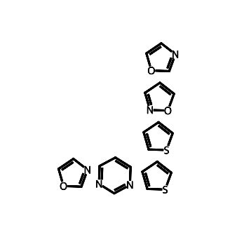 c1ccsc1.c1ccsc1.c1cncnc1.c1cnoc1.c1cocn1.c1cocn1